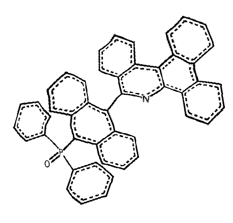 O=P(c1ccccc1)(c1ccccc1)c1c2ccccc2c(-c2nc3c4ccccc4c4ccccc4c3c3ccccc23)c2ccccc12